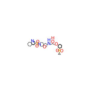 O=S(=O)(c1cccc(OCC(O)CNC2COC3(CCN(S(=O)(=O)c4cnc5c(c4)CCCC5)CC3)C2)c1)C1CC1